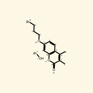 CC(C)O.Cc1c(C)c2ccc(OCCCBr)cc2oc1=O